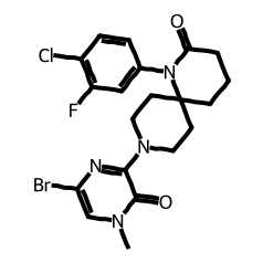 Cn1cc(Br)nc(N2CCC3(CCCC(=O)N3c3ccc(Cl)c(F)c3)CC2)c1=O